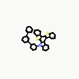 c1ccc(-c2cccc(-c3cccc(-n4c5ccccc5c5c6c7ccccc7sc6c6c7ccccc7sc6c54)c3)c2)cc1